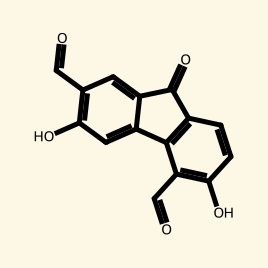 O=Cc1cc2c(cc1O)-c1c(ccc(O)c1C=O)C2=O